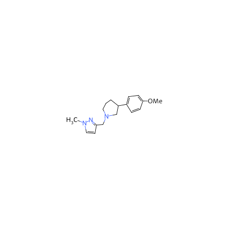 COc1ccc(C2CCCN(Cc3ccn(C)n3)C2)cc1